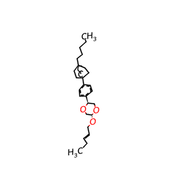 CCC=CCO[C@@H]1CO[C@@H](c2ccc(C34CCC(CCCCC)(CC3)CC4)cc2)CO1